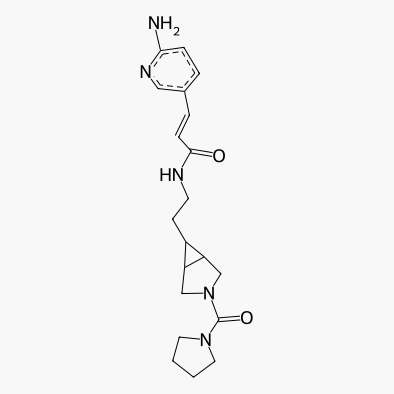 Nc1ccc(/C=C/C(=O)NCCC2C3CN(C(=O)N4CCCC4)CC23)cn1